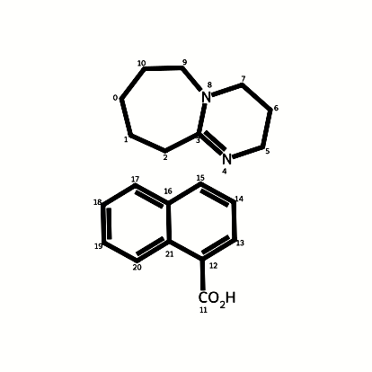 C1CCC2=NCCCN2CC1.O=C(O)c1cccc2ccccc12